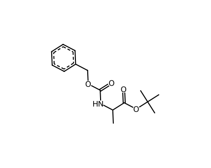 CC(NC(=O)OCc1ccccc1)C(=O)OC(C)(C)C